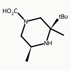 C[C@H]1CN(C(=O)O)C[C@@](C)(C(C)(C)C)N1